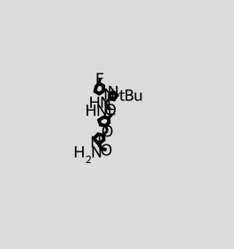 CC(C)(C)c1cc(NC(=O)Nc2ccc(Oc3ccnc(C(N)=O)c3)cc2F)n(-c2cccc(F)c2)n1